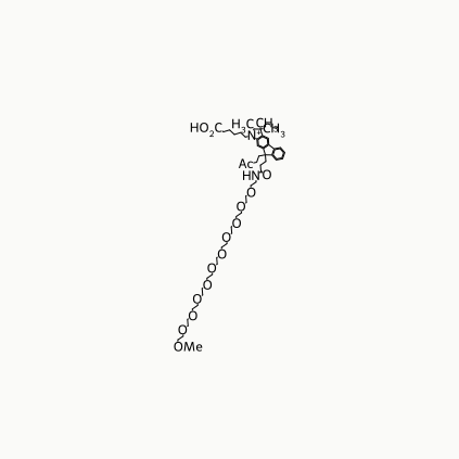 COCCOCCOCCOCCOCCOCCOCCOCCOCCOCCOCCNC(=O)CCC1(CCC(C)=O)c2ccccc2-c2cc3c(cc21)[N+](CCCCCC(=O)O)=C(C)C3(C)C